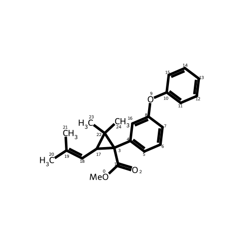 COC(=O)C1(c2cccc(Oc3ccccc3)c2)C(C=C(C)C)C1(C)C